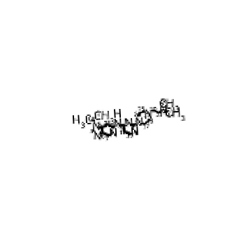 CC(C)n1cnc2cnc(Nc3ccnc(N4CCN(CCN(C)C)CC4)n3)cc21